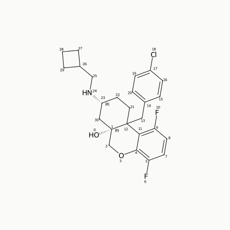 O[C@@]12COc3c(F)ccc(F)c3C1(Cc1ccc(Cl)cc1)CC[C@@H](NCC1CCC1)C2